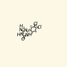 NC1=NC(c2ccc(Cl)c(Cl)c2)NC(=O)N1